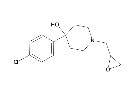 OC1(c2ccc(Cl)cc2)CCN(CC2CO2)CC1